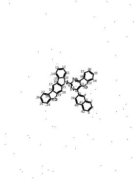 c1ccc2cc(-c3nc(-n4c5ccccc5c5cc6c(cc54)sc4ccccc46)nc4c3sc3ccccc34)ccc2c1